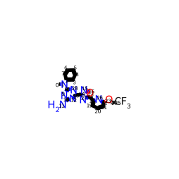 CN(c1ccccc1)c1nc(N)nc(-c2noc(-c3cccc(OCC(F)(F)F)n3)n2)n1